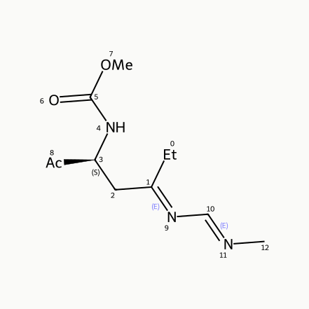 CC/C(C[C@H](NC(=O)OC)C(C)=O)=N\C=N\C